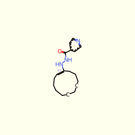 O=C(NN/C1=C/CCCCCCCCCC1)c1ccncc1